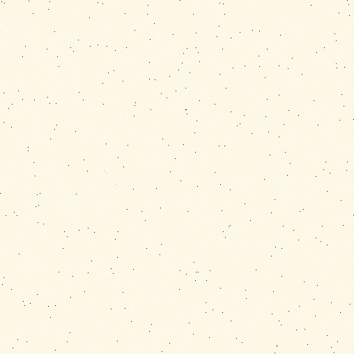 Cc1cc(Cl)c2c(c1)CN(Cc1nncs1)CCO2